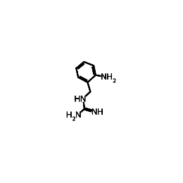 N=C(N)NCc1ccccc1N